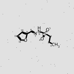 CCCS(=O)(=O)NN=Cc1ccco1